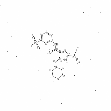 CS(=O)(=O)c1cccc(NC(=O)c2cc(C(F)F)nn2CC2CCCCC2)c1